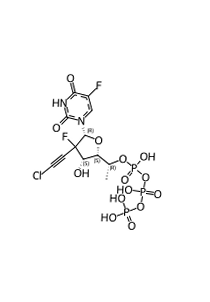 C[C@@H](OP(=O)(O)OP(=O)(O)OP(=O)(O)O)[C@H]1O[C@@H](n2cc(F)c(=O)[nH]c2=O)C(F)(C#CCl)[C@H]1O